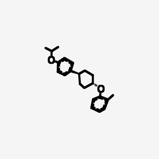 Cc1ccccc1O[C@H]1CC[C@H](c2ccc(OC(C)C)cc2)CC1